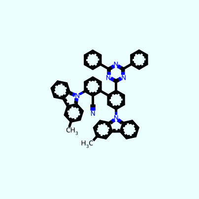 Cc1ccc2c(c1)c1ccccc1n2-c1ccc(-c2nc(-c3ccccc3)nc(-c3ccccc3)n2)c(-c2cccc(-n3c4ccccc4c4cc(C)ccc43)c2C#N)c1